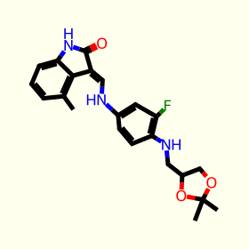 Cc1cccc2c1/C(=C\Nc1ccc(NCC3COC(C)(C)O3)c(F)c1)C(=O)N2